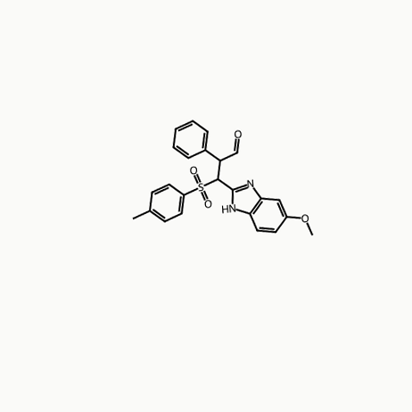 COc1ccc2[nH]c(C(C(C=O)c3ccccc3)S(=O)(=O)c3ccc(C)cc3)nc2c1